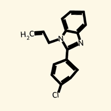 C=CCn1c(-c2ccc(Cl)cc2)nc2ccccc21